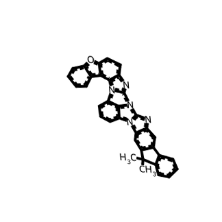 CC1(C)c2ccccc2-c2cc3nc4n(c3cc21)c1cccc2c1n4c1nc3ccc4oc5ccccc5c4c3n21